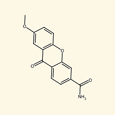 COc1ccc2oc3cc(C(N)=O)ccc3c(=O)c2c1